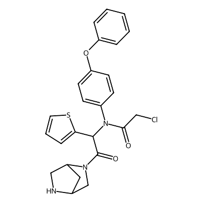 O=C(C(c1cccs1)N(C(=O)CCl)c1ccc(Oc2ccccc2)cc1)N1CC2CC1CN2